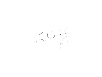 Bc1cc2[nH]c3c(c2c(B)c1Cl)CC(B)(B)C(B)(B)C3(B)C(N)=O